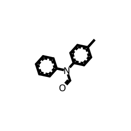 Cc1ccc(N(C=O)c2ccccc2)cc1